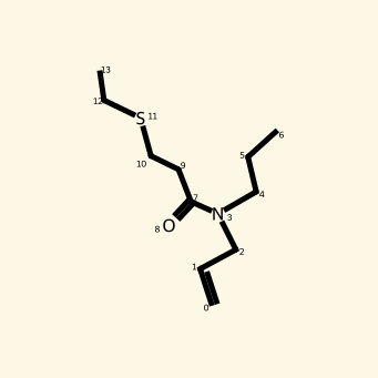 C=CCN(CCC)C(=O)CCSCC